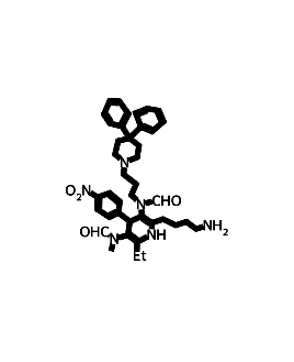 CCC1=C(N(C)C=O)C(c2ccc([N+](=O)[O-])cc2)C(N(C=O)CCCN2CCC(c3ccccc3)(c3ccccc3)CC2)=C(CCCCN)N1